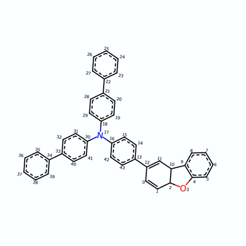 C1=CC2Oc3ccccc3C2C=C1c1ccc(N(c2ccc(-c3ccccc3)cc2)c2ccc(-c3ccccc3)cc2)cc1